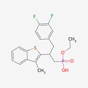 CCOP(=O)(O)CC(Cc1ccc(F)c(F)c1)c1sc2ccccc2c1C